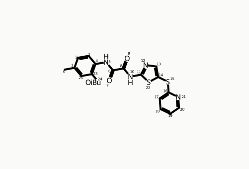 Cc1ccc(NC(=O)C(=O)Nc2ncc(Sc3ccccn3)s2)c(OCC(C)C)c1